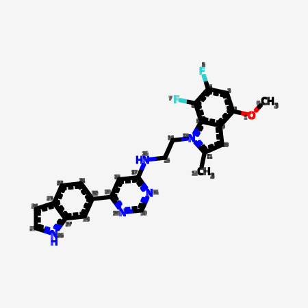 COc1cc(F)c(F)c2c1cc(C)n2CCNc1cc(-c2ccc3cc[nH]c3c2)ncn1